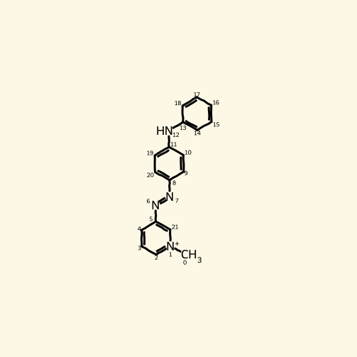 C[n+]1cccc(N=Nc2ccc(Nc3ccccc3)cc2)c1